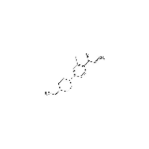 C=CC(=O)c1ccc([C@H]2CC[C@H](CC)CC2)cc1F